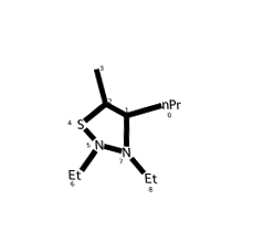 CCCC1C(C)SN(CC)N1CC